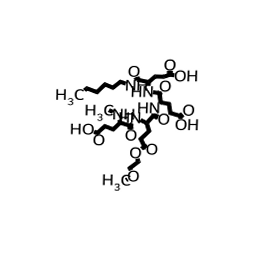 CCCCCCNC(=O)C(CCC(=O)O)NC(=O)C(CCC(=O)O)NC(=O)C(CCC(=O)OCCOC)NC(=O)C(CCC(=O)O)NC